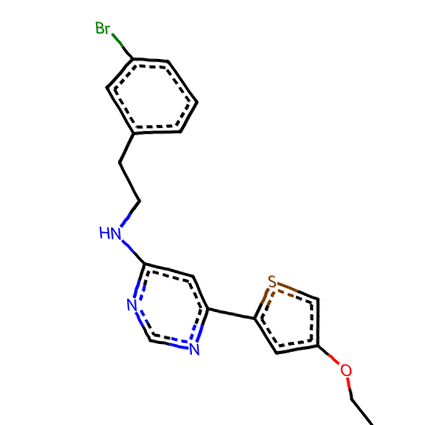 CCOc1csc(-c2cc(NCCc3cccc(Br)c3)ncn2)c1